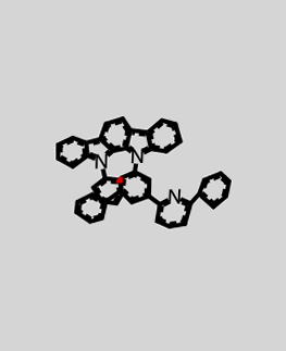 c1ccc(-c2cc(-c3cccc(-c4ccccc4)n3)cc(-n3c4ccccc4c4ccc5c6ccccc6n(-c6ccccc6)c5c43)c2)cc1